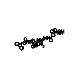 CC(OC(=O)NCCCNC(=O)c1ccc(C(=O)NO)c(O)c1)c1ccc(CNC(=O)OCC2c3ccccc3-c3ccccc32)cc1[N+](=O)[O-]